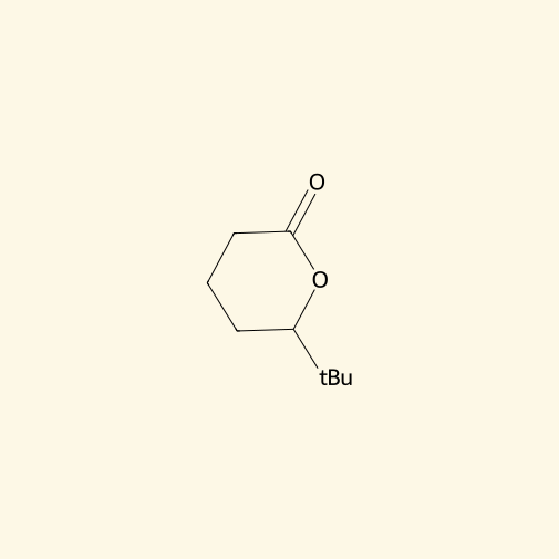 CC(C)(C)C1CCCC(=O)O1